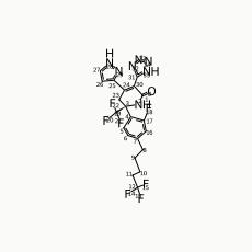 O=C1N[C@@](c2ccc(CCCCC(F)(F)F)cc2F)(C(F)(F)F)CC(c2cc[nH]n2)=C1c1nnn[nH]1